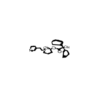 C[N+]1(CCc2ccncc2)CCCC(OC(=O)C(O)(c2ccccc2)C2CCCC2)C1